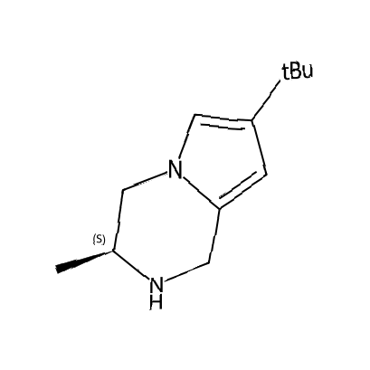 C[C@H]1Cn2cc(C(C)(C)C)cc2CN1